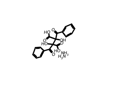 N.N.O=C(O)C(O)(C(=O)c1ccccc1)C(O)(C(=O)O)C(=O)c1ccccc1